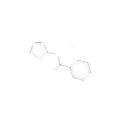 O=C(Oc1ncon1)c1ccccc1.[PbH2]